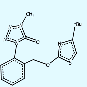 Cn1nnn(-c2ccccc2COc2nc(C(C)(C)C)cs2)c1=O